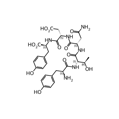 C[C@@H](O)[C@H](NC(=O)[C@@H](N)Cc1ccc(O)cc1)C(=O)N[C@@H](CC(N)=O)C(=O)N[C@@H](CC(=O)O)C(=O)N[C@@H](Cc1ccc(O)cc1)C(=O)O